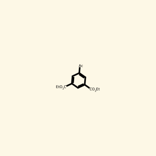 CCOC(=O)c1cc(C(C)=O)cc(C(=O)OCC)c1